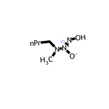 CCCCN(C)/[N+]([O-])=N/O